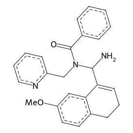 COc1ccc2c(c1)C(C(N)N(Cc1ccccn1)C(=O)c1ccccc1)=CCC2